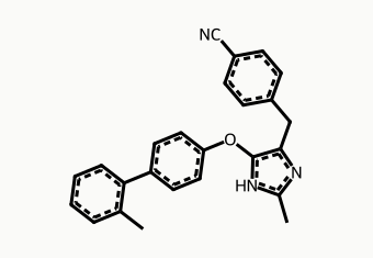 Cc1nc(Cc2ccc(C#N)cc2)c(Oc2ccc(-c3ccccc3C)cc2)[nH]1